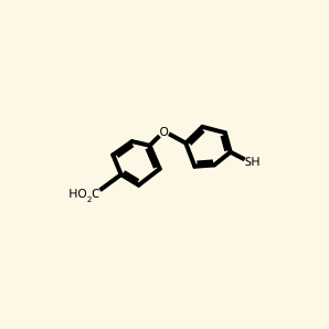 O=C(O)c1ccc(Oc2ccc(S)cc2)cc1